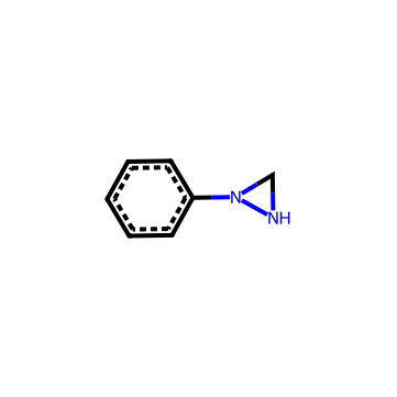 c1ccc(N2CN2)cc1